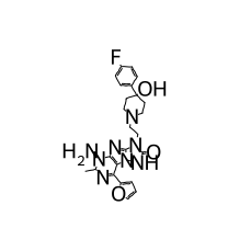 CC1N=C(c2ccco2)c2c(nc3n(CCN4CCC(O)(c5ccc(F)cc5)CC4)c(=O)[nH]n23)N1N